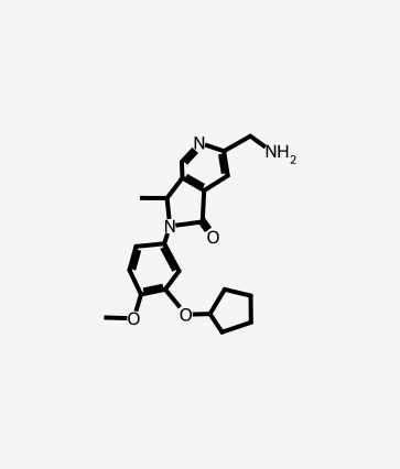 COc1ccc(N2C(=O)c3cc(CN)ncc3C2C)cc1OC1CCCC1